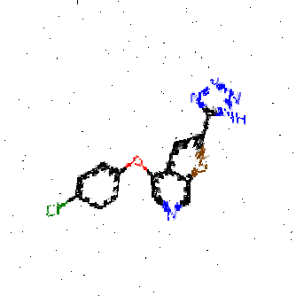 Clc1ccc(Oc2cncc3sc(-c4nnn[nH]4)cc23)cc1